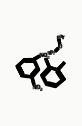 CCCOCCC.Cc1ccccc1C.O=[N+]([O-])c1cccc([N+](=O)[O-])c1